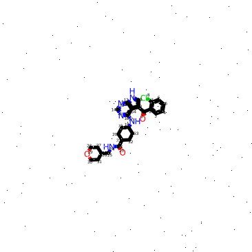 O=C(c1ccccc1Cl)c1c[nH]c2ncnc(NC3CCC(C(=O)NCC4CCOCC4)CC3)c12